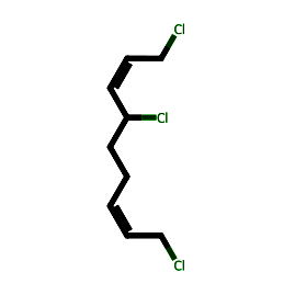 ClC/C=C\CCC(Cl)/C=C\CCl